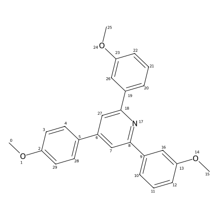 COc1ccc(-c2cc(-c3cccc(OC)c3)nc(-c3cccc(OC)c3)c2)cc1